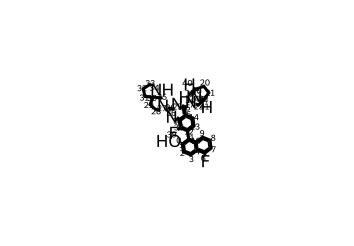 Oc1ccc2c(F)cccc2c1-c1ccc2c(N3C[C@H]4CC[C@@H](C3)N4)nc(N3CCC4(CCCN4)C3)nc2c1F